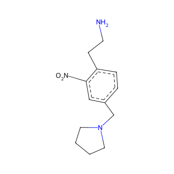 NCCc1ccc(CN2CCCC2)cc1[N+](=O)[O-]